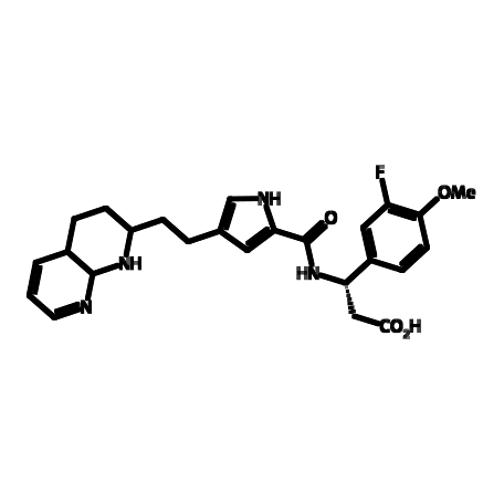 COc1ccc([C@H](CC(=O)O)NC(=O)c2cc(CCC3CCC4C=CC=NC4N3)c[nH]2)cc1F